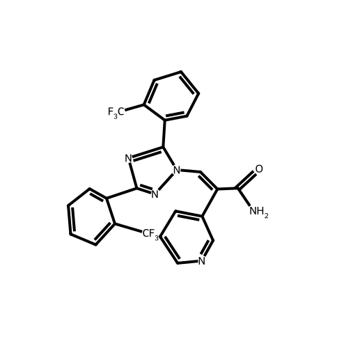 NC(=O)C(=Cn1nc(-c2ccccc2C(F)(F)F)nc1-c1ccccc1C(F)(F)F)c1cccnc1